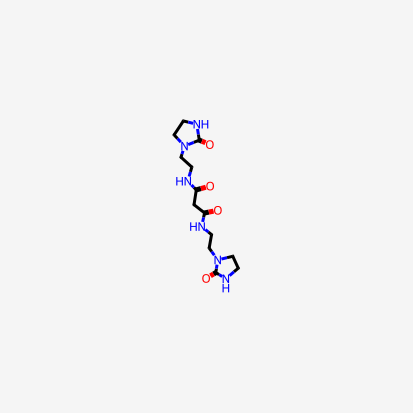 O=C(CC(=O)NCCN1CCNC1=O)NCCN1CCNC1=O